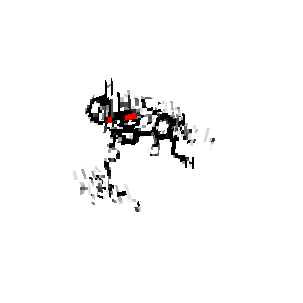 Cn1nc2ccc(-c3cn(COCC[Si](C)(C)C)c4nc(N5[C@@H]6CC[C@H]5C[C@@H](NC(=O)OC(C)(C)C)C6)cnc34)c(Cl)c2c1CC#N